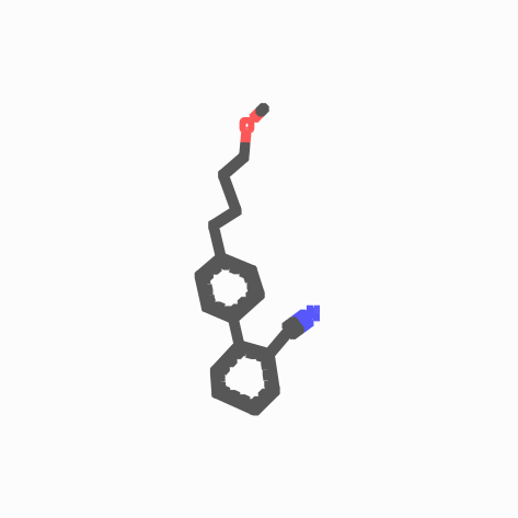 COCCCCc1ccc(-c2ccccc2C#N)cc1